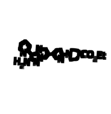 CCOC(=O)N1CCN(c2ccc(-c3cnc4c(-c5ccccn5)c(N)nn4c3)cn2)CC1